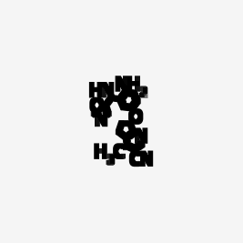 Cc1c(C#N)cnc2c1CCC2Oc1ccc(N)c(C(=N)c2cnco2)c1